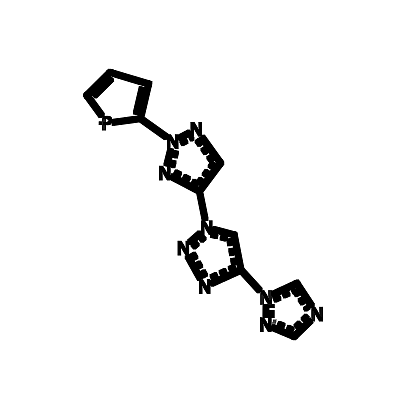 C1=C[P]C(n2ncc(-n3cc(-n4cncn4)nn3)n2)=C1